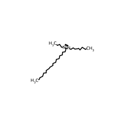 CCCCCCCCCCCCCCCCCCc1n(CCCCCCCC)cc[n+]1CCCC